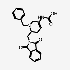 O=C(O)NC1=CCC(CN2C(=O)c3ccccc3C2=O)N(Cc2ccccc2)C1